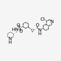 O=C(Nc1ccc2cncc(Cl)c2c1)[C@@H]1C[C@H]1c1cccc(S(=O)(=O)NC[C@H]2CCCNC2)c1